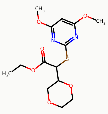 CCOC(=O)C(Sc1nc(OC)cc(OC)n1)C1COCCO1